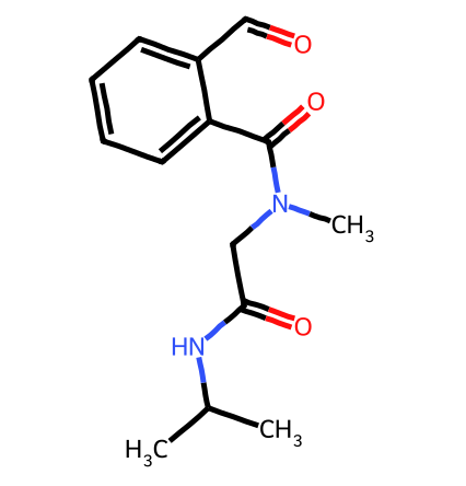 CC(C)NC(=O)CN(C)C(=O)c1ccccc1C=O